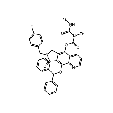 CCNC(=O)N(CC)C(=O)Oc1c2c(c(OC(c3ccccc3)c3ccccc3)c3ncccc13)C(=O)N(Cc1ccc(F)cc1)C2